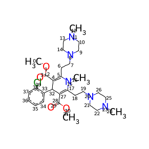 COC(=O)C1=C(CCN2CCN(C)CC2)N(C)C(CCN2CCN(C)CC2)=C(C(=O)OC)C1c1ccccc1Cl